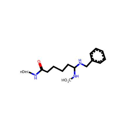 CCCCCCCCCCNC(=O)CCCCC(NCc1ccccc1)NC(=O)O